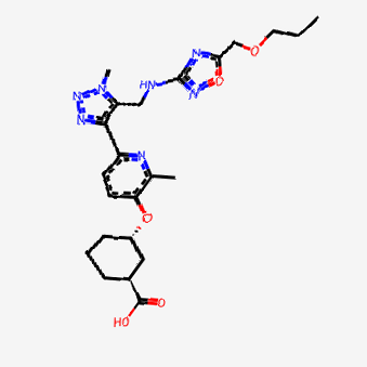 CCCOCc1nc(NCc2c(-c3ccc(O[C@H]4CCC[C@H](C(=O)O)C4)c(C)n3)nnn2C)no1